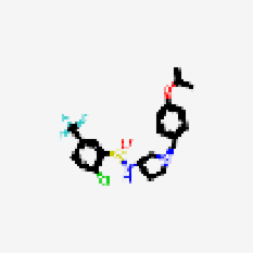 CC(C)Oc1ccc(CN2CC[C@@H](N[S@@+]([O-])c3cc(C(F)(F)F)ccc3Cl)C2)cc1